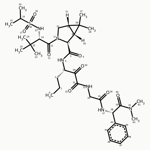 CCC[C@H](NC(=O)[C@@H]1[C@@H]2[C@H](CN1C(=O)[C@@H](NS(=O)(=O)C(C)C)C(C)(C)C)C2(C)C)C(=O)C(=O)NCC(=O)N[C@H](C(=O)N(C)C)c1ccccc1